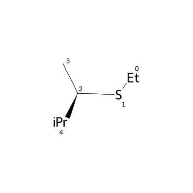 CCS[C@H](C)C(C)C